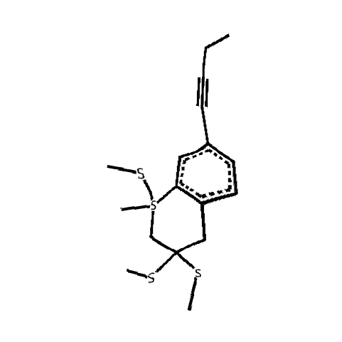 CCC#Cc1ccc2c(c1)S(C)(SC)CC(SC)(SC)C2